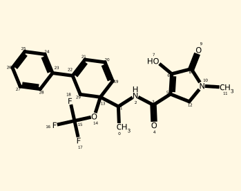 CC(NC(=O)C1=C(O)C(=O)N(C)C1)C1(OC(F)(F)F)C=CC=C(c2ccccc2)C1